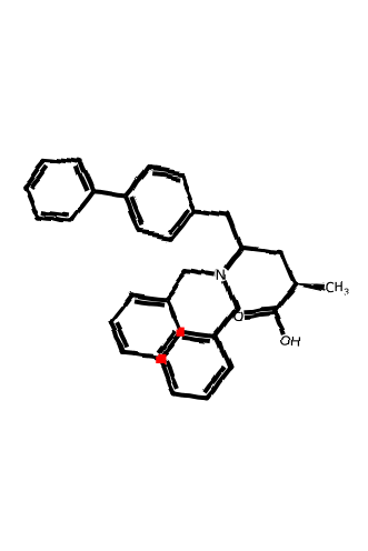 C[C@H](CC(Cc1ccc(-c2ccccc2)cc1)N(Cc1ccccc1)Cc1ccccc1)C(=O)O